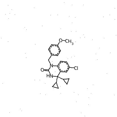 COc1ccc(CN2C(=O)NC(C3CC3)(C3CC3)c3cc(Cl)ccc32)cc1